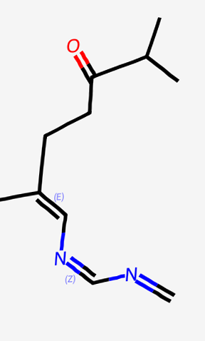 C=N/C=N\C=C(/C)CCC(=O)C(C)C